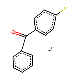 O=C(c1ccccc1)c1ccc([S-])cc1.[Li+]